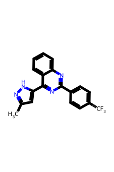 Cc1cc(-c2nc(-c3ccc(C(F)(F)F)cc3)nc3ccccc23)[nH]n1